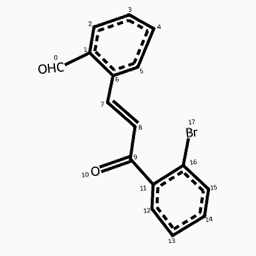 O=Cc1ccccc1C=CC(=O)c1ccccc1Br